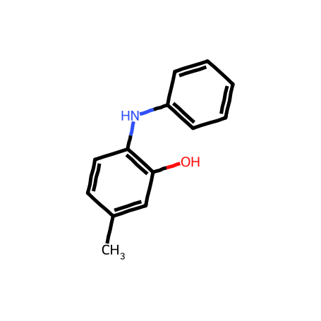 Cc1ccc(Nc2ccccc2)c(O)c1